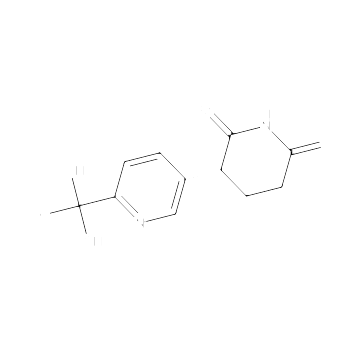 CC(C)(C)c1ccc([C@H]2CCC(=O)NC2=O)cn1